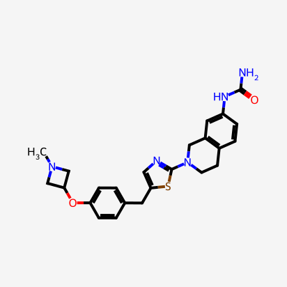 CN1CC(Oc2ccc(Cc3cnc(N4CCc5ccc(NC(N)=O)cc5C4)s3)cc2)C1